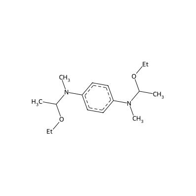 CCOC(C)N(C)c1ccc(N(C)C(C)OCC)cc1